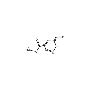 O=C(OO)C1=CC(=CCl)CC=C1